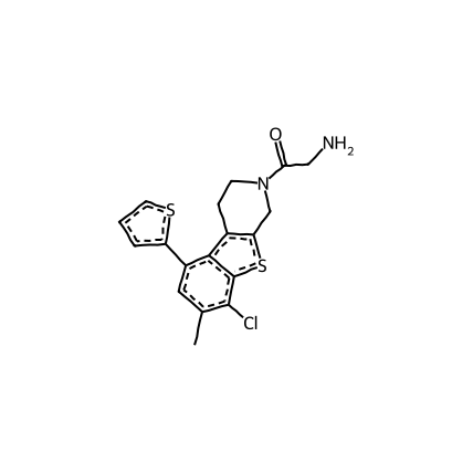 Cc1cc(-c2cccs2)c2c3c(sc2c1Cl)CN(C(=O)CN)CC3